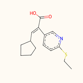 CCSc1ccc(/C(=C\C2CCCC2)C(=O)O)cn1